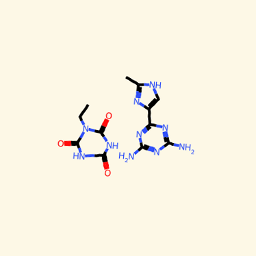 CCn1c(=O)[nH]c(=O)[nH]c1=O.Cc1nc(-c2nc(N)nc(N)n2)c[nH]1